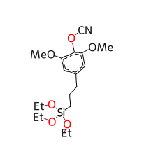 CCO[Si](CCCc1cc(OC)c(OC#N)c(OC)c1)(OCC)OCC